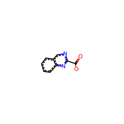 [O]C(=O)c1ncc2ccccc2n1